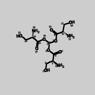 N[C@@H](CO)C(=O)OP(OC(=O)[C@@H](N)CO)OC(=O)[C@@H](N)CO